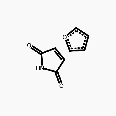 O=C1C=CC(=O)N1.c1ccoc1